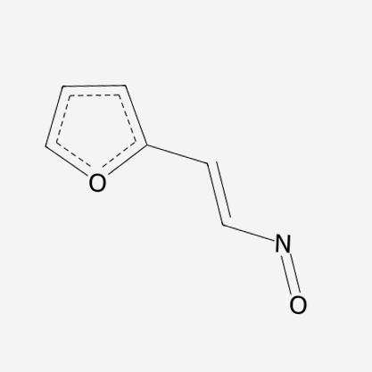 O=NC=Cc1ccco1